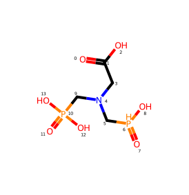 O=C(O)CN(C[PH](=O)O)CP(=O)(O)O